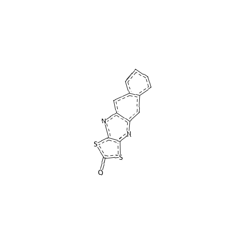 O=c1sc2nc3cc4ccccc4cc3nc2s1